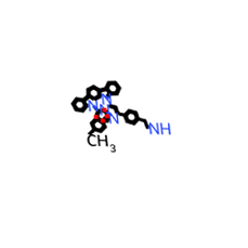 CCc1ccc(-c2nc(-c3ccc(CC=N)cc3)cc(-n3c4ccccc4c4ccc5c6ccccc6n(-c6ccccc6)c5c43)n2)cc1